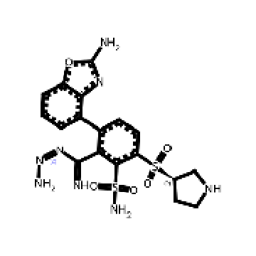 N=C(/N=N\N)c1c(-c2cccc3oc(N)nc23)ccc(S(=O)(=O)[C@@H]2CCNC2)c1S(N)(=O)=O